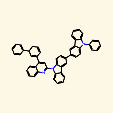 C1=CC(c2cc(-n3c4ccccc4c4cc(-c5ccc6c(c5)c5ccccc5n6-c5ccccc5)ccc43)nc3ccccc23)=CC(c2ccccc2)C1